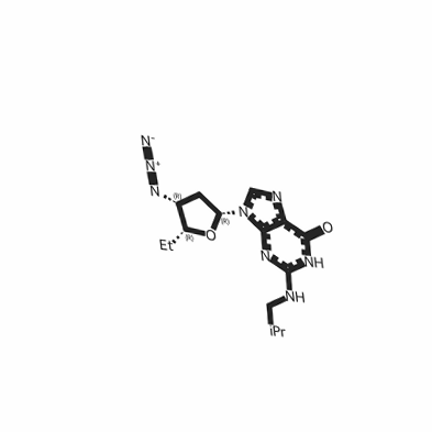 CC[C@H]1O[C@@H](n2cnc3c(=O)[nH]c(NCC(C)C)nc32)C[C@H]1N=[N+]=[N-]